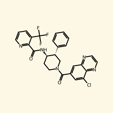 O=C(N[C@@H]1CCN(C(=O)c2cc(Cl)c3nccnc3c2)C[C@H]1c1ccccc1)c1ncccc1C(F)(F)F